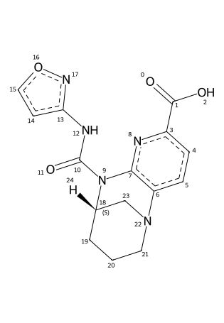 O=C(O)c1ccc2c(n1)N(C(=O)Nc1ccon1)[C@H]1CCCN2C1